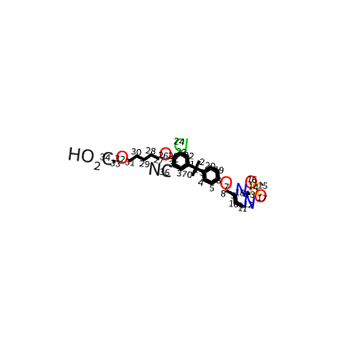 CC(C)(c1ccc(OCc2ccnc(S(C)(=O)=O)n2)cc1)c1cc(Cl)c(OCCCCCOCC(=O)O)c(C#N)c1